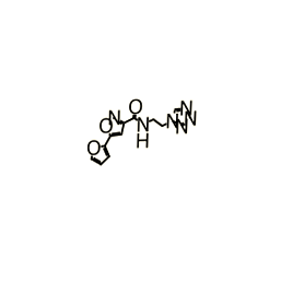 O=C(NCCn1cnnn1)c1cc(-c2ccco2)on1